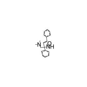 CN(C)CC1(c2ccccc2)C=C(c2ccccc2)ON1